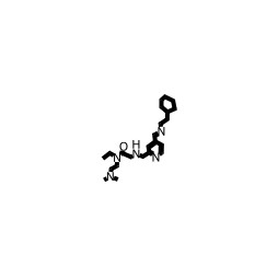 CCN(CCN(C)C)C(=O)CNCc1cc(C=NCCC2CCCCC2)ccn1